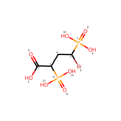 O=C(O)C(CC(Br)P(=O)(O)O)P(=O)(O)O